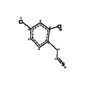 S=[C]Cc1ccc(Cl)cc1Cl